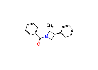 C[C@@H]1[C@@H](c2ccccc2)CN1C(=O)c1ccccc1